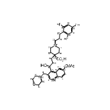 COc1ccc2ncc(CN3CCOCC3)c(C(O)CCC3(C(=O)O)CCN(CCCc4c(F)cc(F)cc4F)CC3)c2c1